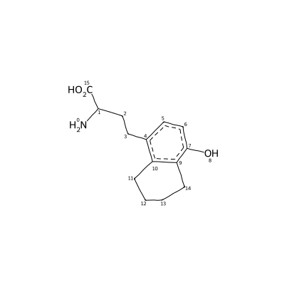 NC(CCc1ccc(O)c2c1CCCC2)C(=O)O